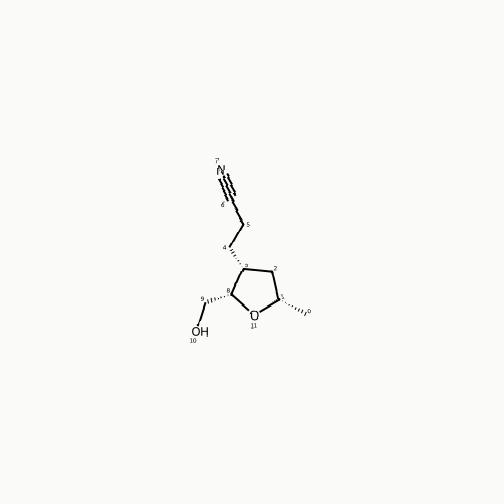 C[C@H]1C[C@@H](CCC#N)[C@@H](CO)O1